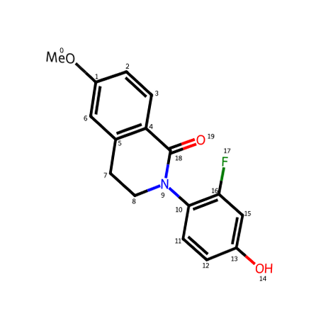 COc1ccc2c(c1)CCN(c1ccc(O)cc1F)C2=O